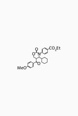 CCOC(=O)c1ccc(N2C(=O)OCC(C(=O)c3ccc(OC)cc3)C2C2CCCCC2)cc1